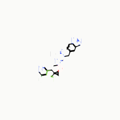 CN(C)[C@H](CNC(=O)C[C@@H](c1cncc(Cl)c1)C1(C(F)(F)F)CC1)Cc1ccc2[nH]ncc2c1